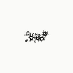 COc1c(NC(=O)c2cc3cccc(Oc4ccncc4)c3[nH]2)cc(C(C)(C)C)cc1N1CCC1=O